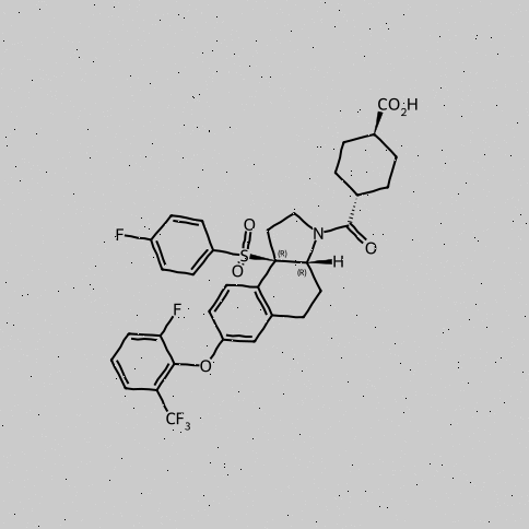 O=C(O)[C@H]1CC[C@H](C(=O)N2CC[C@@]3(S(=O)(=O)c4ccc(F)cc4)c4ccc(Oc5c(F)cccc5C(F)(F)F)cc4CC[C@@H]23)CC1